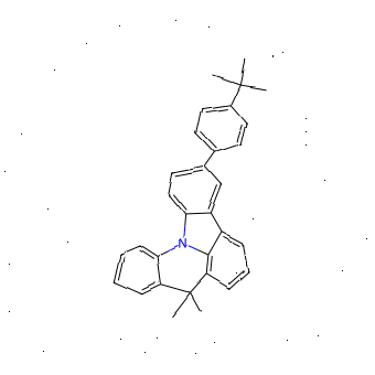 CC(C)(C)c1ccc(-c2ccc3c(c2)c2cccc4c2n3-c2ccccc2C4(C)C)cc1